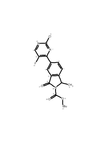 CC1c2ccc(-c3nc(Cl)ncc3F)cc2C(=O)N1C(=O)OC(C)(C)C